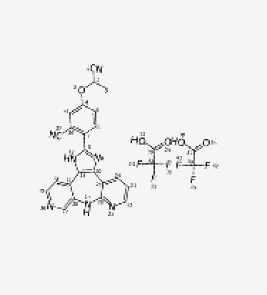 CC(C#N)Oc1ccc(-c2nc3c([nH]2)-c2ccncc2Nc2ncccc2-3)c(C#N)c1.O=C(O)C(F)(F)F.O=C(O)C(F)(F)F